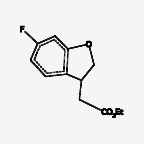 CCOC(=O)CC1COc2cc(F)ccc21